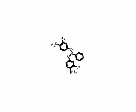 CCc1cc(ON(Oc2ccc(N)c(CC)c2)c2ccccc2)ccc1N